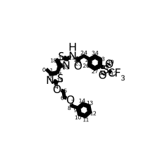 Cc1nc(OCCOCc2ccccc2)sc1-c1csc(NC(=O)Cc2ccc(S(=O)(=O)C(F)(F)F)cc2)n1